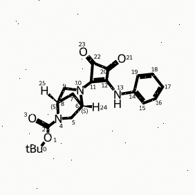 CC(C)(C)OC(=O)N1C[C@@H]2C[C@H]1CN2c1c(Nc2ccccc2)c(=O)c1=O